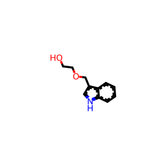 OCCOCc1c[nH]c2ccccc12